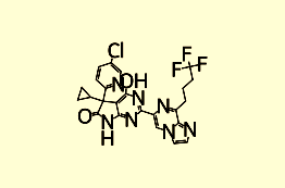 O=C1Nc2nc(-c3cn4ccnc4c(CCCC(F)(F)F)n3)nc(O)c2C1(c1ccc(Cl)cn1)C1CC1